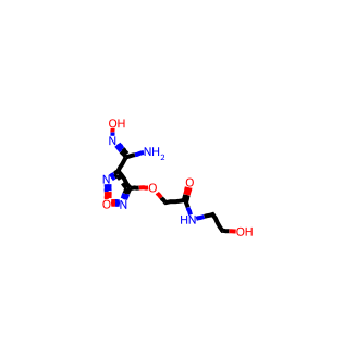 N/C(=N\O)c1nonc1OCC(=O)NCCO